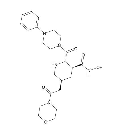 O=C(NO)[C@H]1C[C@@H](CC(=O)N2CCOCC2)CN[C@@H]1C(=O)N1CCN(c2ccccc2)CC1